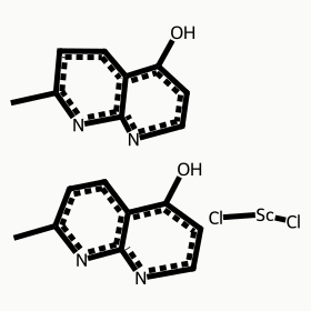 Cc1ccc2c(O)ccnc2n1.Cc1ccc2c(O)ccnc2n1.[Cl][Sc][Cl]